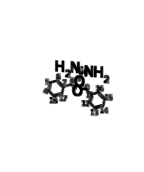 NC(N)=O.c1ccc(COCc2ccccc2)cc1